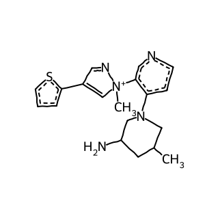 CC1CC(N)CN(c2ccncc2[N+]2(C)C=C(c3cccs3)C=N2)C1